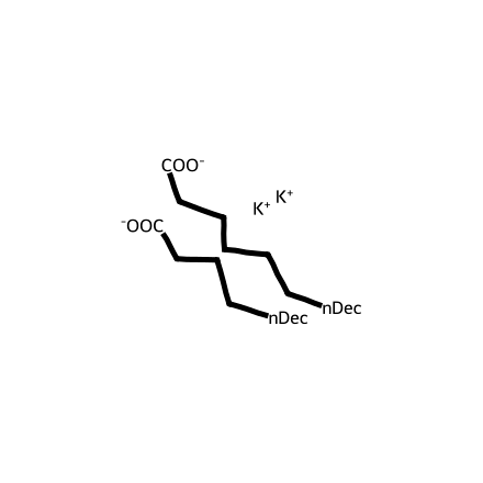 CCCCCCCCCCCCCC(=O)[O-].CCCCCCCCCCCCCCCC(=O)[O-].[K+].[K+]